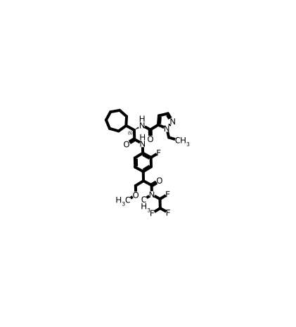 CCn1nccc1C(=O)N[C@H](C(=O)Nc1ccc(C(COC)C(=O)N(C)C(F)C(F)F)cc1F)C1CCCCCC1